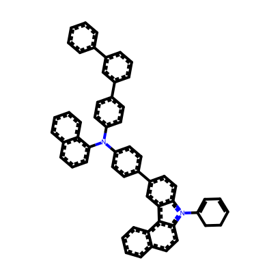 C1=CCCC(n2c3ccc(-c4ccc(N(c5ccc(-c6cccc(-c7ccccc7)c6)cc5)c5cccc6ccccc56)cc4)cc3c3c4ccccc4ccc32)=C1